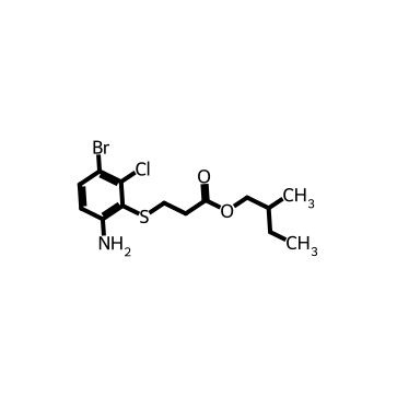 CCC(C)COC(=O)CCSc1c(N)ccc(Br)c1Cl